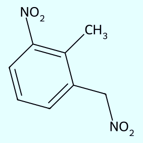 Cc1c(C[N+](=O)[O-])cccc1[N+](=O)[O-]